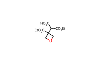 CCOC(=O)C(C(=O)O)C1(C(=O)OCC)COC1